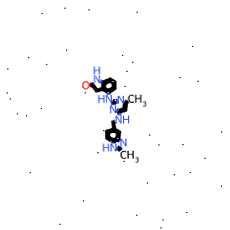 Cc1cc(NCc2ccc3[nH]c(C)nc3c2)nc(Nc2cccc3c2CC(=O)N3)n1